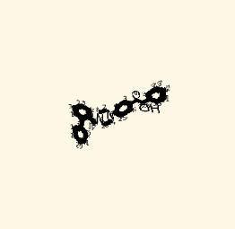 O=C(c1ccc(N2CCN(Cc3ccccc3-c3ccccc3)CC2)cc1)C(O)c1ccccc1